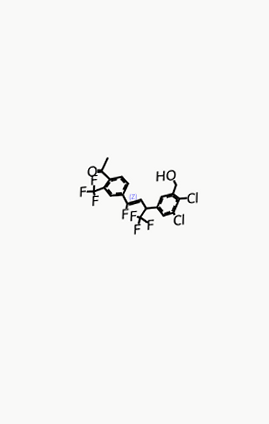 CC(=O)c1ccc(/C(F)=C/C(c2cc(Cl)c(Cl)c(CO)c2)C(F)(F)F)cc1C(F)(F)F